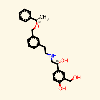 C[C@H](OCc1cccc(CCNC[C@H](O)c2ccc(O)c(CO)c2)c1)c1ccccc1